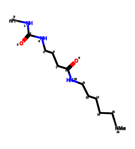 CCCNC(=O)NCCCC(=O)NCCCCCNC